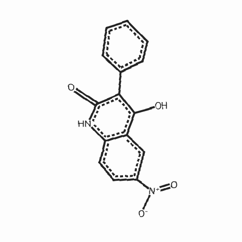 O=c1[nH]c2ccc([N+](=O)[O-])cc2c(O)c1-c1ccccc1